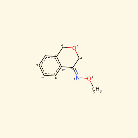 CON=C1COCc2ccccc21